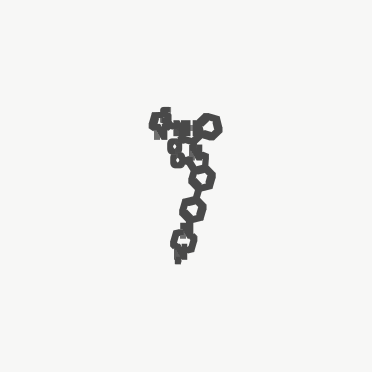 CN1CCN(c2ccc(-c3ccc4c(c3)C(=O)N(C(C(=O)Nc3nccs3)c3ccccc3)C4)cc2)CC1